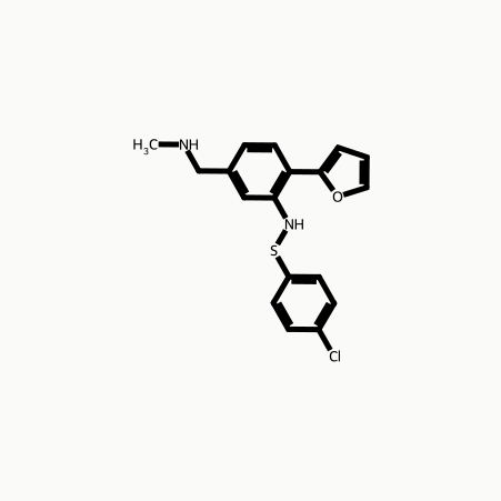 CNCc1ccc(-c2ccco2)c(NSc2ccc(Cl)cc2)c1